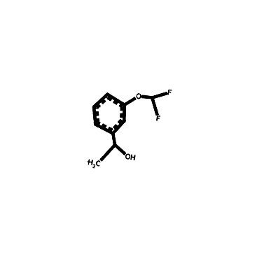 [CH2]C(O)c1cccc(OC(F)F)c1